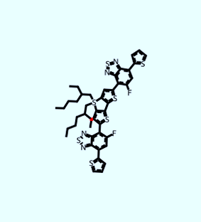 CCCCC(CC)CS1(CC(CC)CCCC)c2cc(-c3c(F)cc(-c4cccs4)c4nsnc34)sc2-c2sc(-c3c(F)cc(-c4cccs4)c4nsnc34)cc21